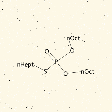 CCCCCCCCOP(=O)(OCCCCCCCC)SCCCCCCC